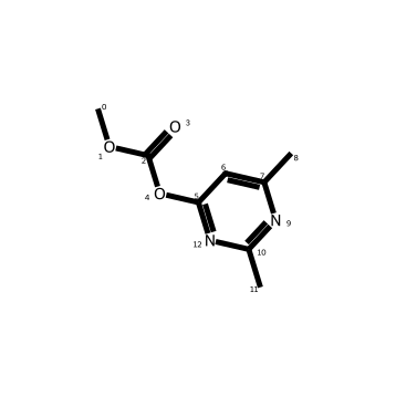 COC(=O)Oc1cc(C)nc(C)n1